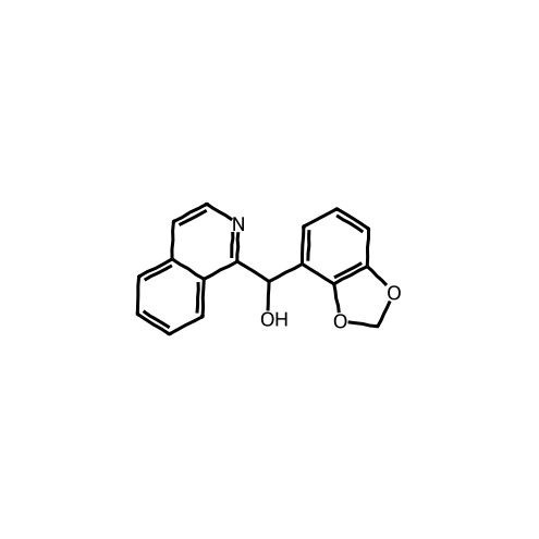 OC(c1cccc2c1OCO2)c1nccc2ccccc12